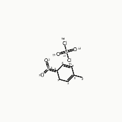 CC1=CCC(=S(=O)=O)C=C1.O=S(=O)(Cl)Cl